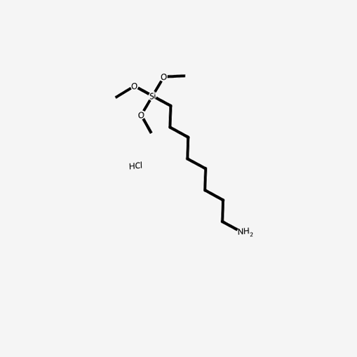 CO[Si](CCCCCCCCN)(OC)OC.Cl